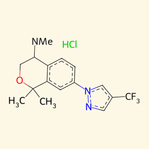 CNC1COC(C)(C)c2cc(-n3cc(C(F)(F)F)cn3)ccc21.Cl